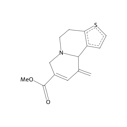 C=C1C=C(C(=O)OC)CN2CCc3sccc3C12